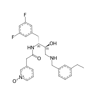 CCc1cccc(CNC[C@H](O)[C@@H](Cc2cc(F)cc(F)c2)NC(=O)Cc2ccc[n+]([O-])c2)c1